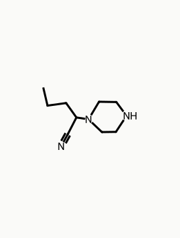 CCCC(C#N)N1CCNCC1